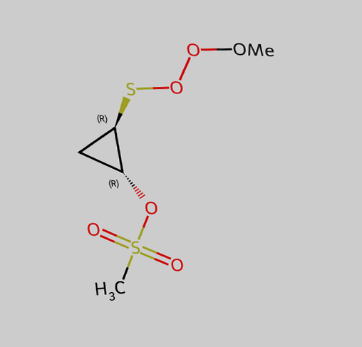 COOOS[C@@H]1C[C@H]1OS(C)(=O)=O